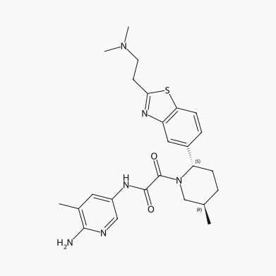 Cc1cc(NC(=O)C(=O)N2C[C@H](C)CC[C@H]2c2ccc3sc(CCN(C)C)nc3c2)cnc1N